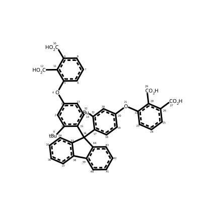 CC(C)(C)c1cc(Oc2cccc(C(=O)O)c2C(=O)O)ccc1C1(c2ccc(Oc3cccc(C(=O)O)c3C(=O)O)cc2C(C)(C)C)c2ccccc2-c2ccccc21